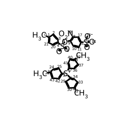 Cc1ccc(S(=O)(=O)Oc2ccc(S(=O)(=O)[O-])cc2[N+](=O)[O-])cc1.Cc1ccc([S+](c2ccc(C)cc2)c2ccc(C)cc2)cc1